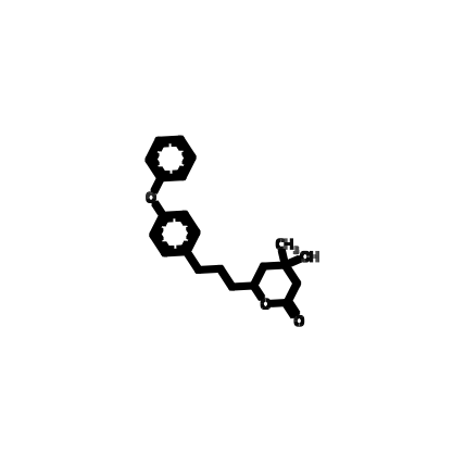 CC1(O)CC(=O)OC(CCCc2ccc(Oc3ccccc3)cc2)C1